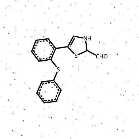 O=CC1NC=C(c2ccccc2Sc2ccccc2)S1